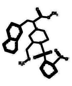 COCC1CN(C(Cc2ccc3ccccc3c2)C(=O)OC)CCN1S(=O)(=O)c1ccccc1[N+](=O)[O-]